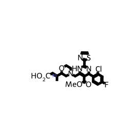 COC(=O)C1=C(CN2CCOC(/C(C)=C/C(=O)O)C2)NC(c2nccs2)=NC1c1ccc(F)cc1Cl